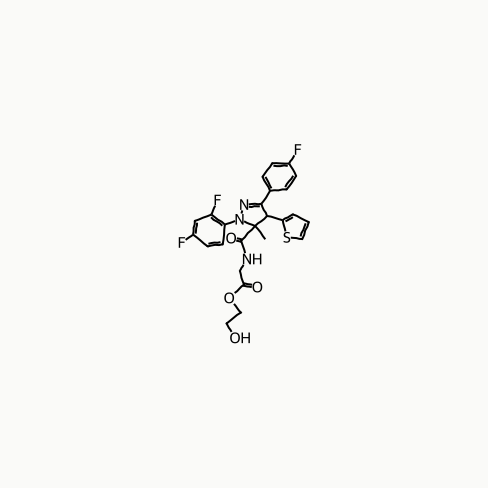 CC1(C(=O)NCC(=O)OCCO)C(c2cccs2)C(c2ccc(F)cc2)=NN1c1ccc(F)cc1F